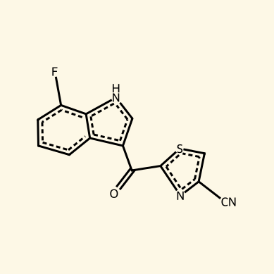 N#Cc1csc(C(=O)c2c[nH]c3c(F)cccc23)n1